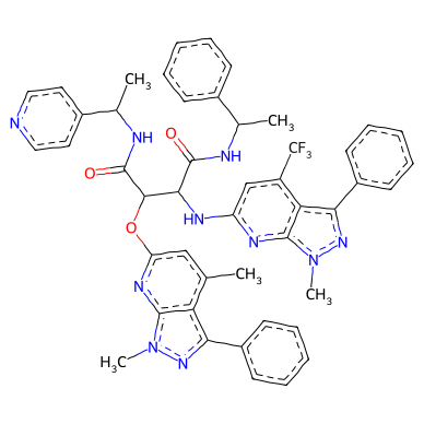 Cc1cc(OC(C(=O)NC(C)c2ccncc2)C(Nc2cc(C(F)(F)F)c3c(-c4ccccc4)nn(C)c3n2)C(=O)NC(C)c2ccccc2)nc2c1c(-c1ccccc1)nn2C